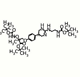 CC(C)(C)OC(=O)NCCNC1=NC[C@@H](c2ccc(OC[C@](C)(ONC(=O)OC(C)(C)C)C(=O)OC(C)(C)C)cc2)CN1